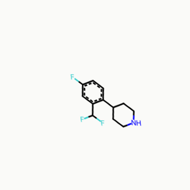 Fc1ccc(C2CCNCC2)c(C(F)F)c1